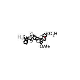 COC1CN(C(O[C@H]2CC[C@H](C(=O)O)CC2)(C(=O)Cc2cc(Cl)c(NC(=O)c3cn(C)c4ccccc34)cc2F)N2CCCC2)C1